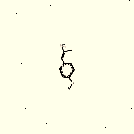 CC(=Cc1ccc(OC(C)C)cc1)[N+](=O)[O-]